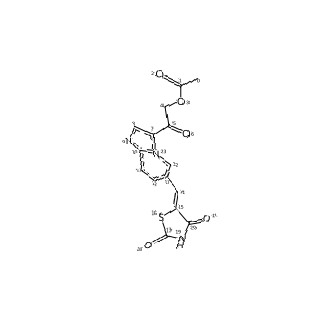 CC(=O)OCC(=O)c1cnc2ccc(/C=C3\SC(=O)NC3=O)cn12